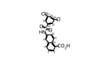 O=C(O)c1cccc2cc(NS(=O)(=O)c3cc(Cl)cc(Cl)c3)ccc12